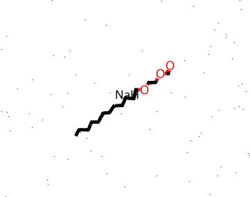 CCCCCCCCCCCCOCCOC=O.[NaH]